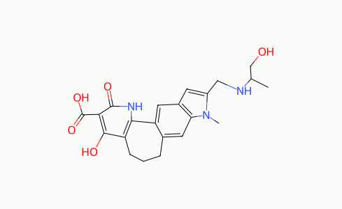 CC(CO)NCc1cc2cc3c(cc2n1C)CCCc1c-3[nH]c(=O)c(C(=O)O)c1O